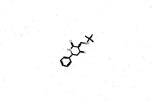 CC(C)(C)N/C=C1\C(=O)CC(c2ccccc2)NC1=O